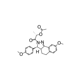 COc1ccc([C@@H]2[C@@H]3CCc4ccc(OC)cc4C3=NN2C(=O)[C@H](C)OC(C)=O)cc1